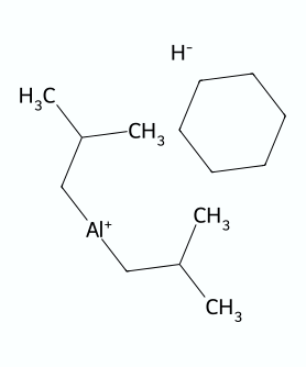 C1CCCCC1.CC(C)[CH2][Al+][CH2]C(C)C.[H-]